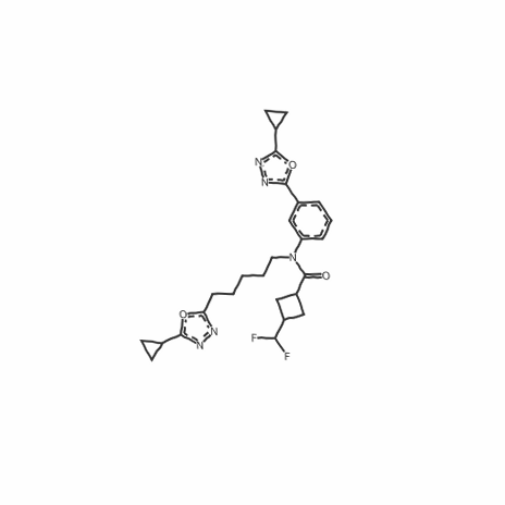 O=C(C1CC(C(F)F)C1)N(CCCCCc1nnc(C2CC2)o1)c1cccc(-c2nnc(C3CC3)o2)c1